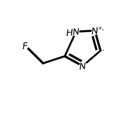 FCC1=N[C]=[N+]N1